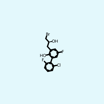 Oc1c(C[C@H](O)CBr)cc(F)cc1-c1c(F)cccc1Cl